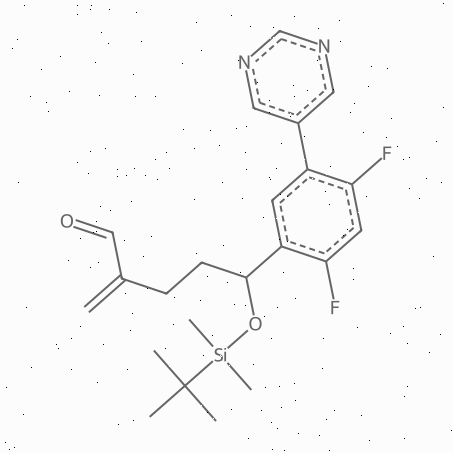 C=C(C=O)CCC(O[Si](C)(C)C(C)(C)C)c1cc(-c2cncnc2)c(F)cc1F